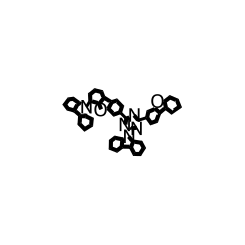 c1ccc2c(c1)oc1cc(-c3nc(-c4ccc5c(c4)oc4c(-n6c7ccccc7c7ccccc76)cccc45)nc(-n4c5ccccc5c5ccccc54)n3)ccc12